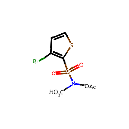 CC(=O)ON(C(=O)O)S(=O)(=O)c1sccc1Br